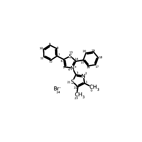 Cc1nc(-[n+]2cc(-c3ccccc3)sc2-c2ccccc2)sc1C.[Br-]